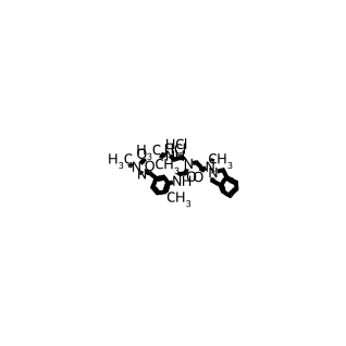 CCn1nc(-c2ccc(C)c(NCC(=O)N(CCNC(C)C)CC(=O)N(C)N3Cc4ccccc4C3)c2)oc1=O.Cl.Cl